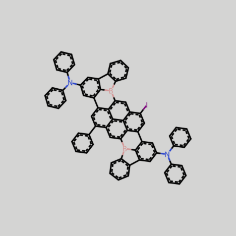 Ic1cc2c3c(cc4c(-c5ccccc5)cc5c6c(cc1c3c46)B1c3ccccc3-c3cc(N(c4ccccc4)c4ccccc4)cc-5c31)B1c3ccccc3-c3cc(N(c4ccccc4)c4ccccc4)cc-2c31